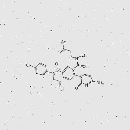 C=CCN(c1ccc(Cl)cc1)[S+]([O-])c1ccc(-n2ccc(N)nc2=O)c(C(=O)N(CC)CCN(C)C(C)=O)c1